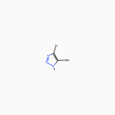 CCCCc1c(CC)nnn1C